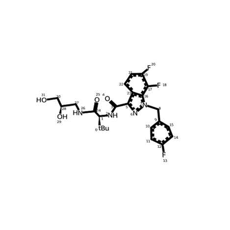 CC(C)(C)[C@H](NC(=O)c1nn(Cc2ccc(F)cc2)c2c(F)c(F)ccc12)C(=O)NC[C@@H](O)CO